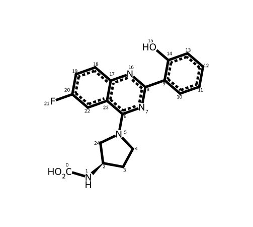 O=C(O)N[C@@H]1CCN(c2nc(-c3ccccc3O)nc3ccc(F)cc23)C1